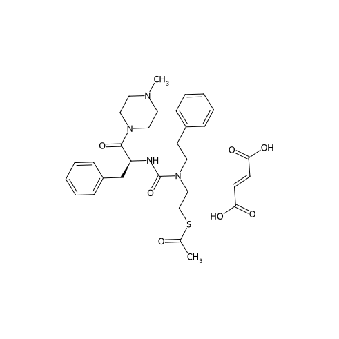 CC(=O)SCCN(CCc1ccccc1)C(=O)N[C@@H](Cc1ccccc1)C(=O)N1CCN(C)CC1.O=C(O)/C=C/C(=O)O